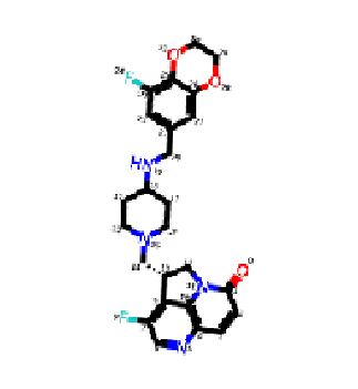 O=c1ccc2ncc(F)c3c2n1C[C@H]3CN1CCC(NCc2cc(F)c3c(c2)OCCO3)CC1